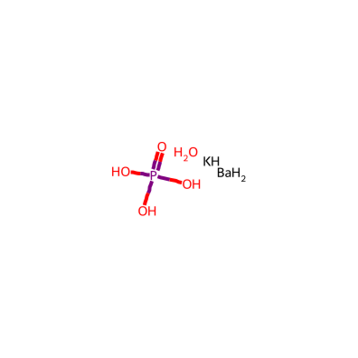 O.O=P(O)(O)O.[BaH2].[KH]